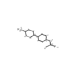 CC1CCC(C2CCC(OC(F)F)CC2)CC1